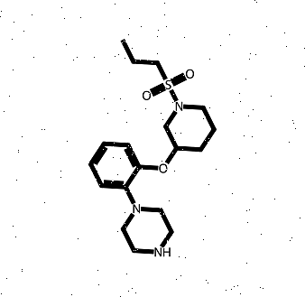 CCCS(=O)(=O)N1CCCC(Oc2ccccc2N2CCNCC2)C1